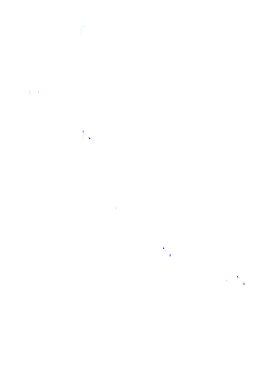 Cc1cc(C#N)n2c1C1(CCN(C(=O)CF)CC1)Oc1ccccc1-2